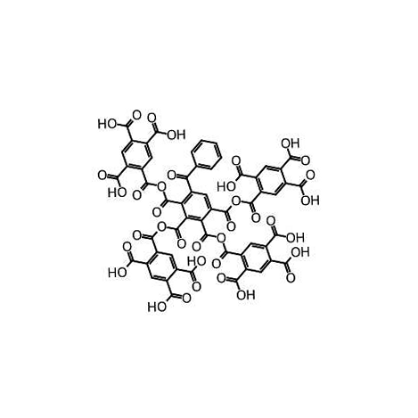 O=C(O)c1cc(C(=O)O)c(C(=O)OC(=O)c2cc(C(=O)c3ccccc3)c(C(=O)OC(=O)c3cc(C(=O)O)c(C(=O)O)cc3C(=O)O)c(C(=O)OC(=O)c3cc(C(=O)O)c(C(=O)O)cc3C(=O)O)c2C(=O)OC(=O)c2cc(C(=O)O)c(C(=O)O)cc2C(=O)O)cc1C(=O)O